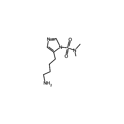 CN(C)S(=O)(=O)n1cncc1CCCCN